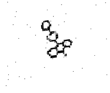 Brc1c2ccccc2c(-c2cnc(-c3ccccc3)nc2)c2ccccc12